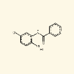 I.O=C(Nc1cc(Cl)ccc1Cl)c1ccccc1